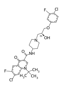 CC(C)(C)n1cc(C(=O)NC2CCN(C[C@H](O)COc3ccc(Cl)c(F)c3)CC2)c(=O)c2cc(F)c(Cl)cc21